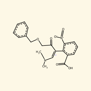 CN(C)/C=C(\C(=O)COCc1ccccc1)c1c(C(=O)O)cccc1[N+](=O)[O-]